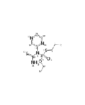 CCCSP(=O)(OCC)N(C(N)=S)c1cnccn1